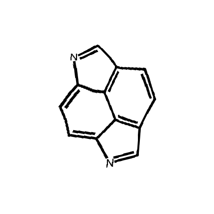 C1=Nc2ccc3c4c(ccc1c24)C=N3